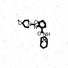 COC1CCN(c2nc3c(C(=O)NC4CC5CCCC(C4)N5C)cccc3o2)CC1